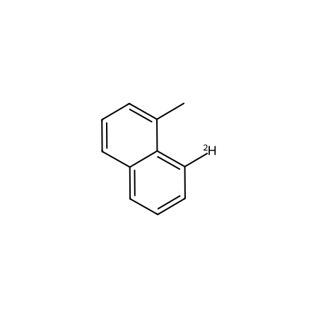 [2H]c1cccc2cccc(C)c12